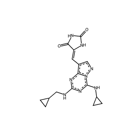 O=C1NC(=O)C(=Cc2cnn3c(NC4CC4)nc(NCC4CC4)nc23)N1